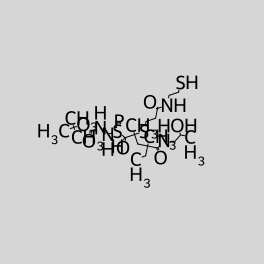 CCC(C)(CC(C)(SCCC(=O)NCCS)C(=O)[SH](#P)NNC(=O)OC(C)(C)C)C(=O)NCC(C)O